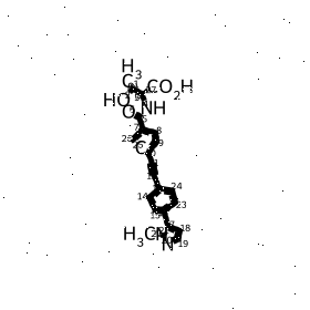 C[C@@H](O)[C@H](NC(=O)c1ccc(C#Cc2ccc(-c3ccnn3C)cc2)cc1)C(=O)O